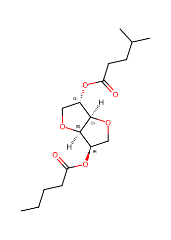 CCCCC(=O)O[C@@H]1CO[C@H]2[C@@H]1OC[C@@H]2OC(=O)CCC(C)C